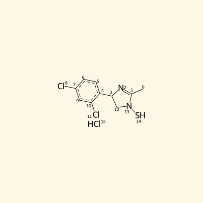 CC1=NC(c2ccc(Cl)cc2Cl)CN1S.Cl